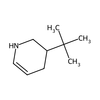 CC(C)(C)C1CC=CNC1